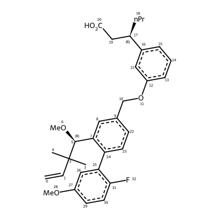 C=CC(C)(C)[C@@H](OC)c1cc(COc2cccc([C@H](CCC)CC(=O)O)c2)ccc1-c1cc(OC)ccc1F